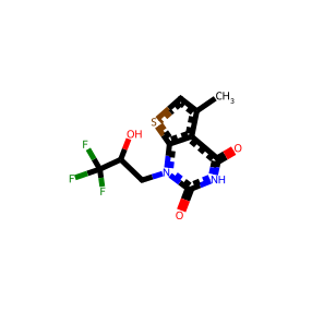 Cc1csc2c1c(=O)[nH]c(=O)n2CC(O)C(F)(F)F